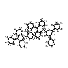 C1=Cc2c(c(-c3cccc4c3oc3cccc(-c5c6ccccc6c(-c6cc(-c7cccnc7)cc(-c7cccnc7)c6)c6ccccc56)c34)c3ccccc3c2-c2ccccc2)CC1